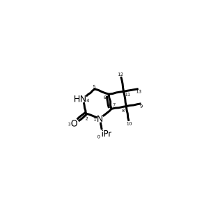 CC(C)N1C(=O)NCC2=C1C(C)(C)C2(C)C